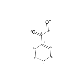 O=[C]C(=O)C1=CCCCC1